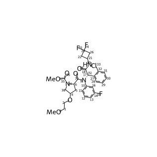 COCCOC1CC(C(=O)N(c2cccc(F)c2)[C@H](C(=O)NC2CC(F)(F)C2)c2ccccc2Cl)N(C(=O)OC)C1